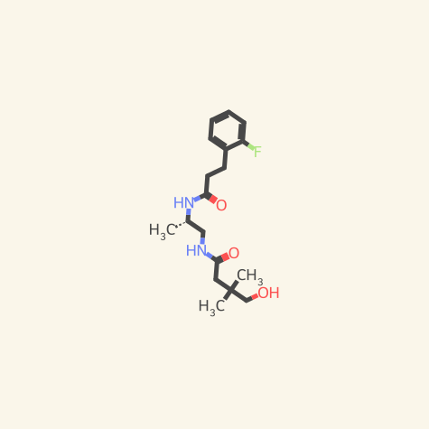 C[C@@H](CNC(=O)CC(C)(C)CO)NC(=O)CCc1ccccc1F